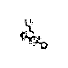 NCCCC[C@H](NC(=O)C1CCCC1)C(=O)c1nccs1